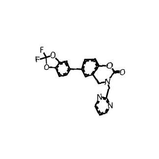 O=C1Oc2ccc(-c3ccc4c(c3)OC(F)(F)O4)cc2CN1Cc1ncccn1